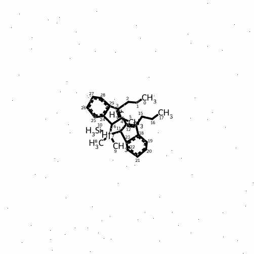 CCCC1=C(C)[CH]([Hf]([CH3])([CH3])([SiH3])[CH]2C(C)=C(CCC)c3ccccc32)c2ccccc21